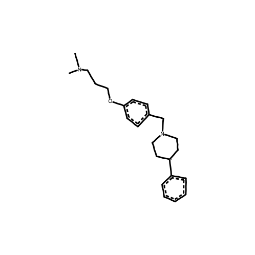 CN(C)CCCOc1ccc(CN2CC[C](c3ccccc3)CC2)cc1